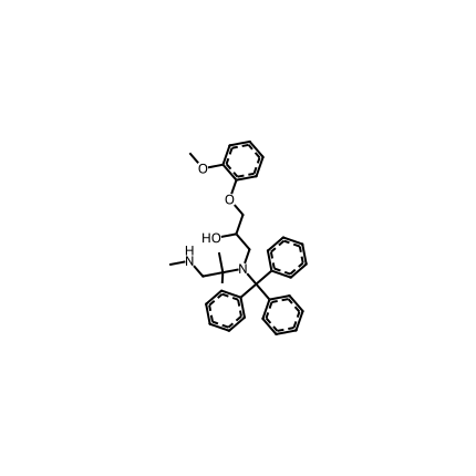 CNCC(C)(C)N(CC(O)COc1ccccc1OC)C(c1ccccc1)(c1ccccc1)c1ccccc1